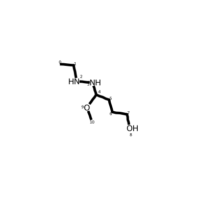 CCNNC(CCCO)OC